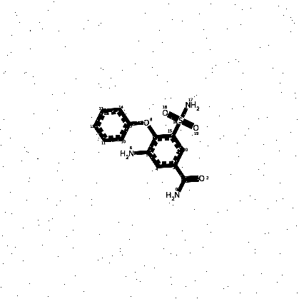 NC(=O)c1cc(N)c(Oc2ccccc2)c(S(N)(=O)=O)c1